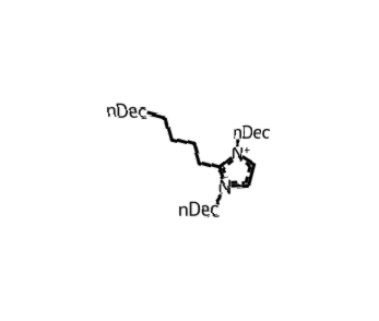 CCCCCCCCCCCCCCc1n(CCCCCCCCCC)cc[n+]1CCCCCCCCCC